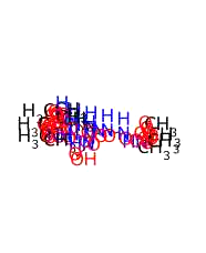 CC(=O)NC1C(C(=O)CCCC(=O)NCCCCC(=O)NCCN(CCNC(=O)CCCCNC(=O)CCCC(=O)C2OC(COC(C)=O)C(OC(C)=O)C(OC(C)=O)C2NC(C)=O)C(=O)CC[C@H](NC(=O)CCCCNC(=O)CCCC(=O)C2OC(COC(C)=O)C(OC(C)=O)C(OC(C)=O)C2NC(C)=O)C(=O)NCCCCCC(=O)O)OC(COC(C)=O)C(OC(C)=O)C1OC(C)=O